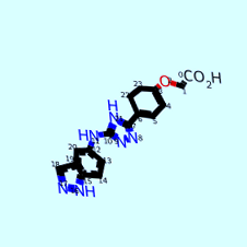 O=C(O)COC1=CC=C(c2nnc(Nc3ccc4[nH]ncc4c3)[nH]2)CC1